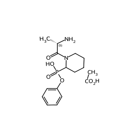 CC(=O)O.C[C@H](N)C(=O)N1CCCCC1P(=O)(O)Oc1ccccc1